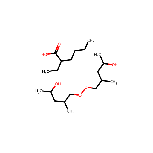 CC(O)CC(C)COOCC(C)CC(C)O.CCCCC(CC)C(=O)O